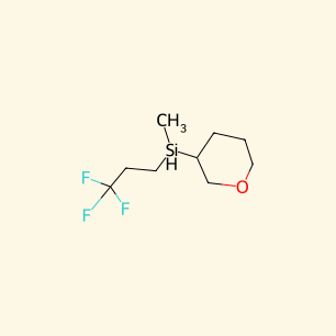 C[SiH](CCC(F)(F)F)C1CCCOC1